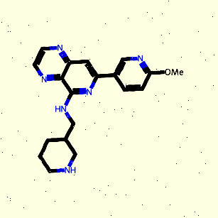 COc1ccc(-c2cc3nccnc3c(NCC3CCCNC3)n2)cn1